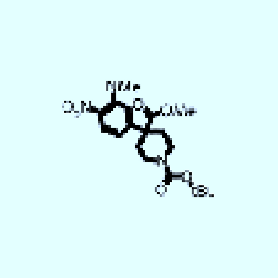 CNc1cc(C2(C(=O)OC)CCN(C(=O)OC(C)(C)C)CC2)ccc1[N+](=O)[O-]